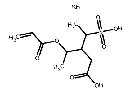 [CH2]C(C(CC(=O)O)C(C)OC(=O)C=C)S(=O)(=O)O.[KH]